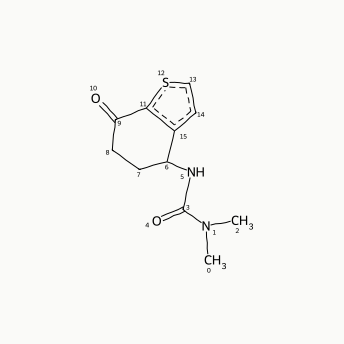 CN(C)C(=O)NC1CCC(=O)c2sccc21